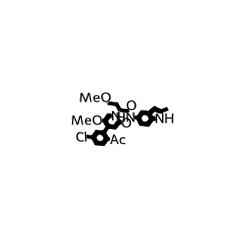 COCCC(C(=O)Nc1ccc2[nH]c(C)cc2c1)n1cc(OC)c(-c2cc(Cl)ccc2C(C)=O)cc1=O